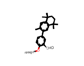 CCCCCCCOc1ccc(-c2cc3c(cc2C)C(C)(C)CCC3(C)C)cc1C=O